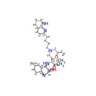 CO[C@H](CF)CN(CCCCc1ccc2c(n1)NCCC2)CC[C@H](Nc1c2cc(F)ccc2nc[n+]1O)C(C)=O